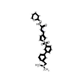 CN(C)Cc1cccc(-c2cccc(S(=O)(=O)n3ccc(/C=C/C(=O)NOC4CCCCO4)c3)c2)c1